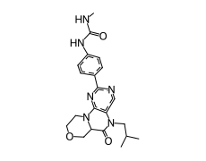 CNC(=O)Nc1ccc(-c2ncc3c(n2)N2CCOCC2C(=O)N3CC(C)C)cc1